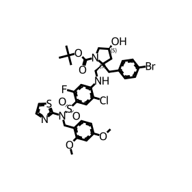 COc1ccc(CN(c2nccs2)S(=O)(=O)c2cc(Cl)c(NC[C@]3(Cc4ccc(Br)cc4)C[C@H](O)CN3C(=O)OC(C)(C)C)cc2F)c(OC)c1